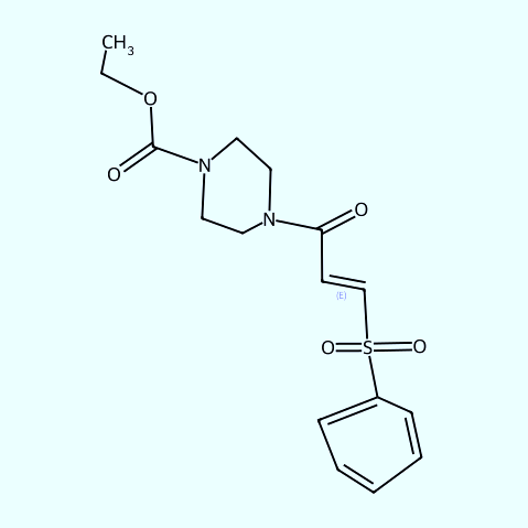 CCOC(=O)N1CCN(C(=O)/C=C/S(=O)(=O)c2ccccc2)CC1